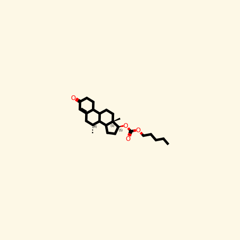 CCCCCOC(=O)O[C@H]1CCC2C3C(CC[C@@]21C)C1CCC(=O)C=C1C[C@H]3C